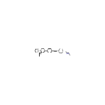 C/C=C/CC1CCC(C#Cc2ccc(-c3ccc(Cl)c(F)c3)cc2)CC1